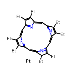 CCC1=C(CC)C2=NC1=CC1=NC(=CC3=C(CC)C(CC)C(=CC4=NC(=C2)C(CC)=C4CC)N3)C(CC)=C1CC.[Pt]